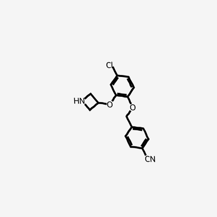 N#Cc1ccc(COc2ccc(Cl)cc2OC2CNC2)cc1